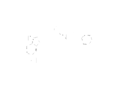 Cc1[nH]c2ccc(Cl)cc2c1CCCC(=O)N1CCC(c2ccccc2)CC1